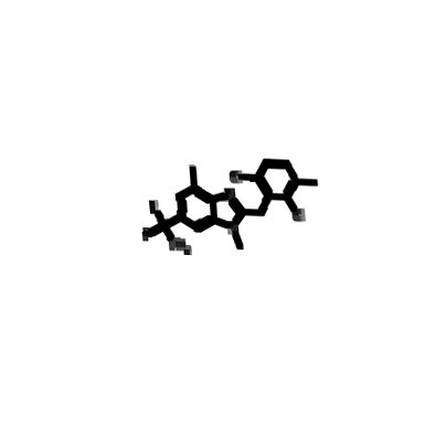 Cc1ccc(Cl)c(Cc2nc3c(C)cc(C(F)(F)P)cc3n2C)c1Cl